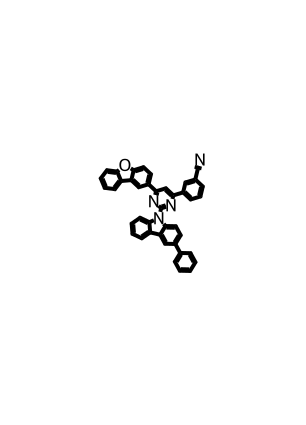 N#Cc1cccc(-c2cc(-c3ccc4oc5ccccc5c4c3)nc(-n3c4ccccc4c4cc(-c5ccccc5)ccc43)n2)c1